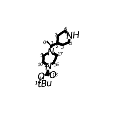 C[C@@H](C1CCNCC1)N1CCN(C(=O)OC(C)(C)C)CC1